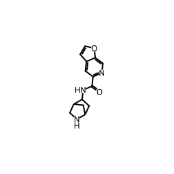 O=C(NC1CC2CC1CN2)c1cc2ccoc2cn1